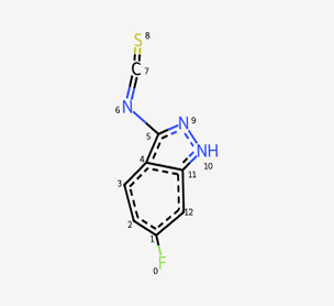 Fc1ccc2c(N=C=S)n[nH]c2c1